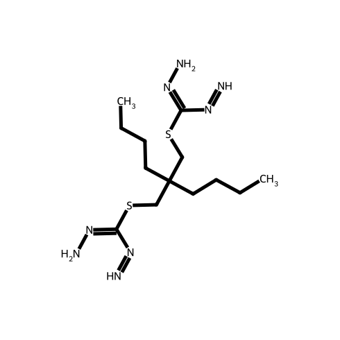 CCCCC(CCCC)(CSC(N=N)=NN)CSC(N=N)=NN